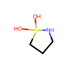 OS1(O)CCCN1